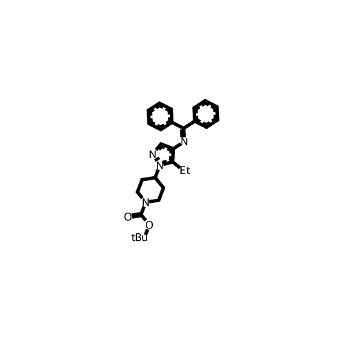 CCc1c(N=C(c2ccccc2)c2ccccc2)cnn1C1CCN(C(=O)OC(C)(C)C)CC1